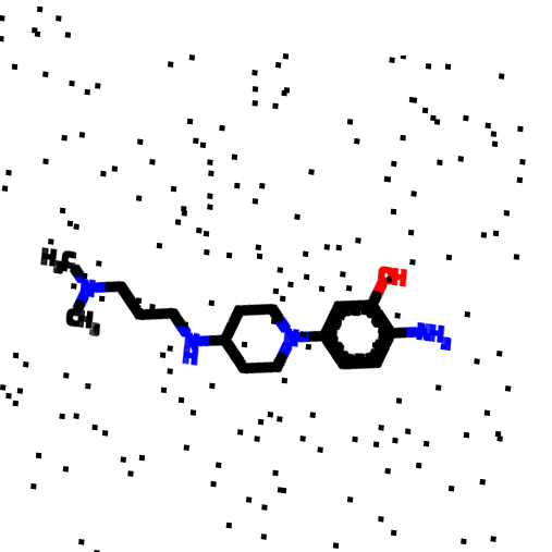 CN(C)CCCNC1CCN(c2ccc(N)c(O)c2)CC1